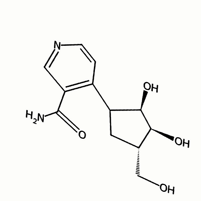 NC(=O)c1cnccc1C1C[C@@H](CO)[C@H](O)[C@@H]1O